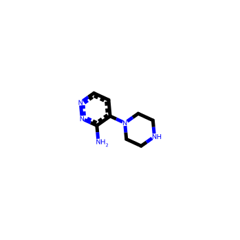 Nc1nnccc1N1CCNCC1